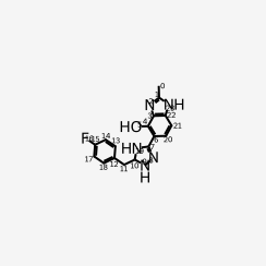 Cc1nc2c(O)c(C3=NNC(Cc4ccc(F)cc4)N3)ccc2[nH]1